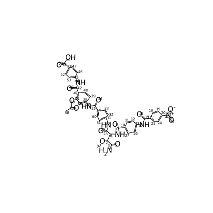 COC(C(N)=O)C(NC(=O)c1ccc(NC(=O)c2ccc([N+](=O)[O-])cc2)cc1)C(=O)Nc1ccc(C(=O)Nc2ccc(C(=O)Nc3ccc(C(=O)O)cc3)c3c2OC(C)O3)cc1